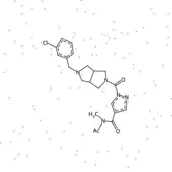 CC(=O)N(C)C(=O)c1cnn(C(=O)N2CC3CN(Cc4cccc(Cl)c4)CC3C2)c1